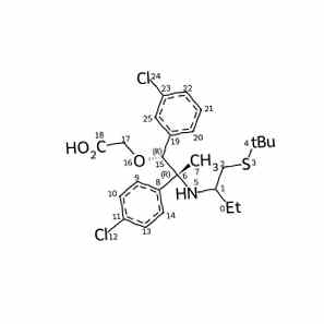 CCC(CSC(C)(C)C)N[C@](C)(c1ccc(Cl)cc1)[C@H](OCC(=O)O)c1cccc(Cl)c1